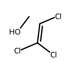 CO.ClC=C(Cl)Cl